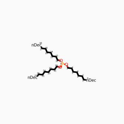 CCCCCCCCCCCCCCCCCOP(OCCCCCCCCCCCCCCCCC)OCCCCCCCCCCCCCCCCC